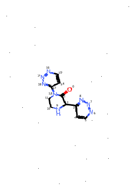 O=C1C(c2ccnnn2)NCCN1c1ccnnn1